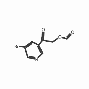 O=COCC(=O)c1cncc(Br)c1